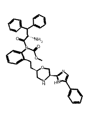 COC(=O)N(C(=O)[C@@H](N)C(c1ccccc1)c1ccccc1)c1ccccc1CC[C@@H]1CN[C@H](c2ncc(-c3ccccc3)[nH]2)CO1